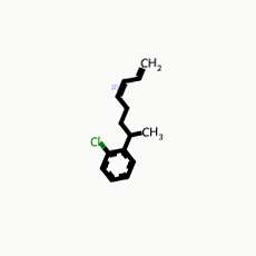 C=C/C=C\CCC(C)c1ccccc1Cl